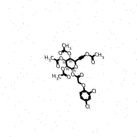 CC(=O)OC#CC1O[C@H](OC(=O)COc2ccc(Cl)cc2Cl)[C@H](OC(C)=O)[C@@H](OC(C)=O)[C@@H]1OC(C)=O